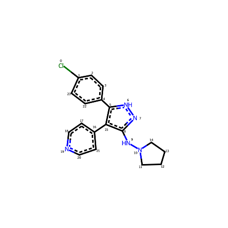 Clc1ccc(-c2[nH]nc(NN3CCCC3)c2-c2ccncc2)cc1